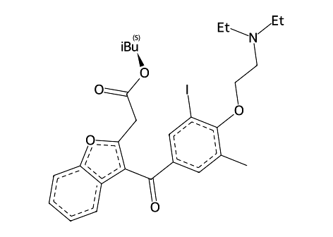 CC[C@H](C)OC(=O)Cc1oc2ccccc2c1C(=O)c1cc(C)c(OCCN(CC)CC)c(I)c1